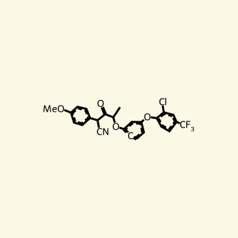 COc1ccc(C(C#N)C(=O)C(C)Oc2cccc(Oc3ccc(C(F)(F)F)cc3Cl)c2)cc1